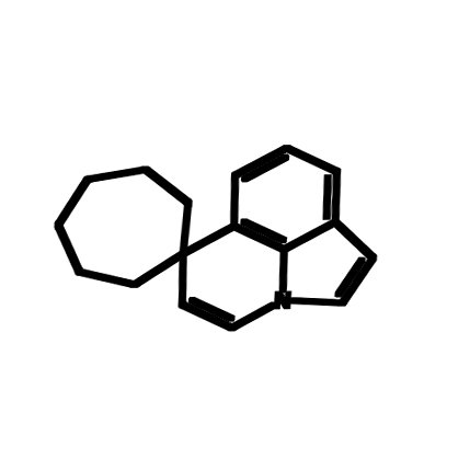 C1=CC2(CCCCCC2)c2cccc3ccn1c23